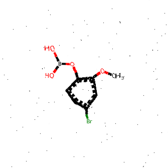 COc1cc(Br)ccc1OB(O)O